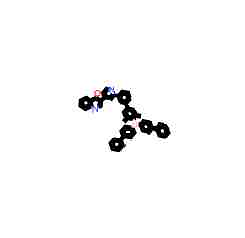 Cc1cc(-c2cccc(-c3cc4c(cn3)OC3c5ccccc5N=CC43)c2)cc(C)c1B(c1ccc(-c2ccccc2)cc1)c1ccc(-c2ccccc2)cc1